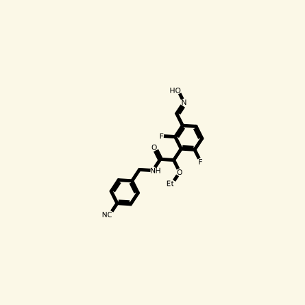 CCOC(C(=O)NCc1ccc(C#N)cc1)c1c(F)ccc(C=NO)c1F